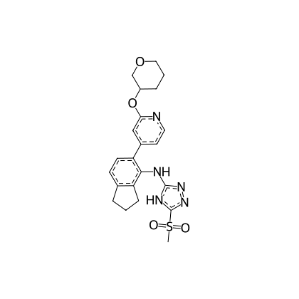 CS(=O)(=O)c1nnc(Nc2c(-c3ccnc(OC4CCCOC4)c3)ccc3c2CCC3)[nH]1